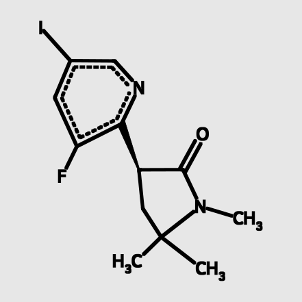 CN1C(=O)[C@H](c2ncc(I)cc2F)CC1(C)C